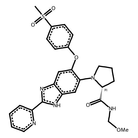 COCNC(=O)[C@H]1CCCN1c1cc2[nH]c(-c3ccccn3)nc2cc1Oc1ccc(S(C)(=O)=O)cc1